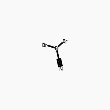 N#CB(Br)Br